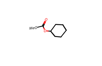 [CH2]OC(=O)OC1CCCCC1